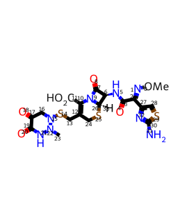 CON=C(C(=O)N[C@@H]1C(=O)N2C(C(=O)O)=C(CSN3CC(=O)C(=O)NN3C)CS[C@H]12)c1csc(N)n1